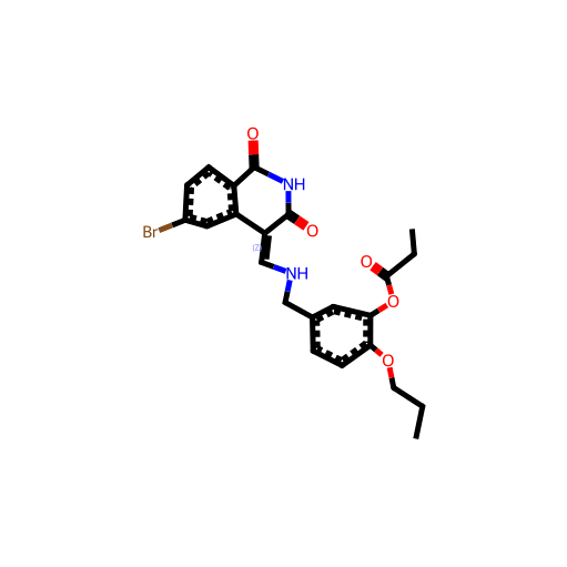 CCCOc1ccc(CN/C=C2\C(=O)NC(=O)c3ccc(Br)cc32)cc1OC(=O)CC